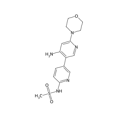 CS(=O)(=O)Nc1ccc(-c2cnc(N3CCOCC3)cc2N)cn1